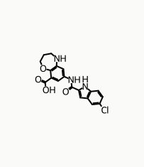 O=C(Nc1cc2c(c(C(=O)O)c1)OCCCN2)c1cc2cc(Cl)ccc2[nH]1